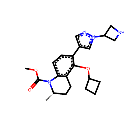 COC(=O)N1c2ccc(-c3cnn(C4CNC4)c3)c(OC3CCC3)c2CC[C@@H]1C